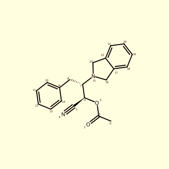 CC(=O)O[C@@H](C#N)[C@H](Cc1ccccc1)N1Cc2ccccc2C1